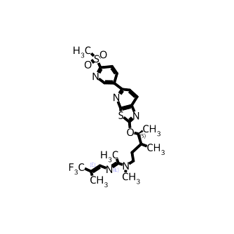 C/C(=C\N=C(/C)N(C)CCC(C)[C@H](C)Oc1nc2ccc(-c3ccc(S(C)(=O)=O)nc3)nc2s1)C(F)(F)F